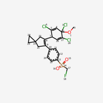 COC1(Cl)C=C(Cl)C(C2=C(c3ccc(S(=O)(=O)CF)cc3)CC3(CC3)C2)C=C1Cl